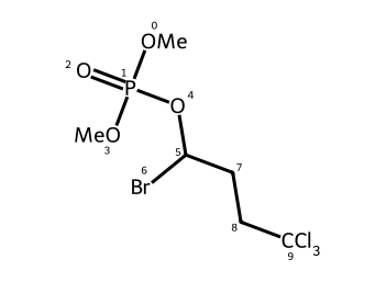 COP(=O)(OC)OC(Br)CCC(Cl)(Cl)Cl